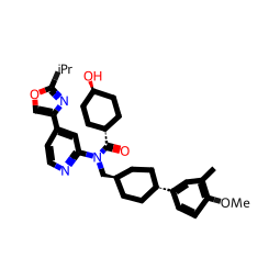 COc1ccc([C@H]2CC[C@H](CN(c3cc(-c4coc(C(C)C)n4)ccn3)C(=O)[C@H]3CC[C@H](O)CC3)CC2)cc1C